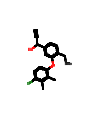 C#CC(O)c1ccc(CNC)c(Oc2ccc(Cl)c(C)c2C)c1